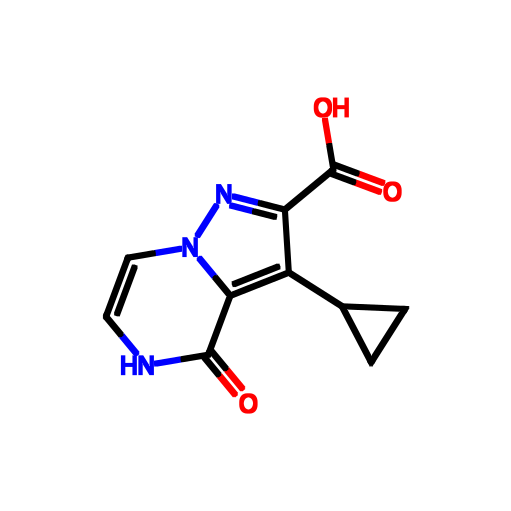 O=C(O)c1nn2cc[nH]c(=O)c2c1C1CC1